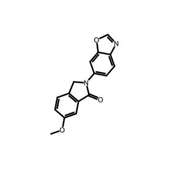 COc1ccc2c(c1)C(=O)N(c1ccc3ncoc3c1)C2